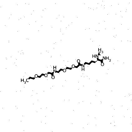 CCCOCCOCC(=O)NCCOCCOCC(=O)NCCCC[C@H](NC)C(N)=O